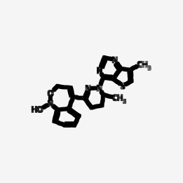 Cc1csc2c(N3N=C(C4=CCON(O)c5ccccc54)CCC3C)ncnc12